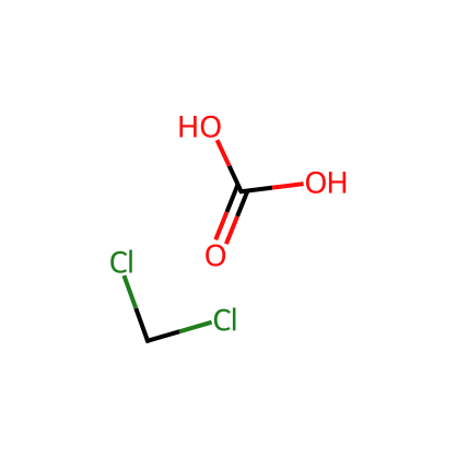 ClCCl.O=C(O)O